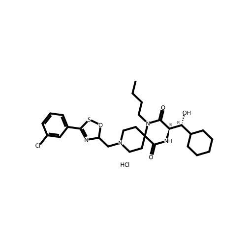 CCCCN1C(=O)[C@@H]([C@H](O)C2CCCCC2)NC(=O)C12CCN(CC1N=C(c3cccc(Cl)c3)SO1)CC2.Cl